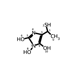 CC(S)c1nc(O)n(O)c1O